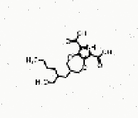 CCCCC(CC)CC1COc2c(C(=O)O)[nH]c(C(=O)O)c2OC1